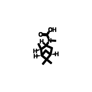 C[C@H]1[C@H](N(C)C(=O)O)C[C@@H]2C[C@H]1C2(C)C